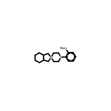 COc1ccccc1N1CC[N+]2(CC1)CC1CCCCC1C2